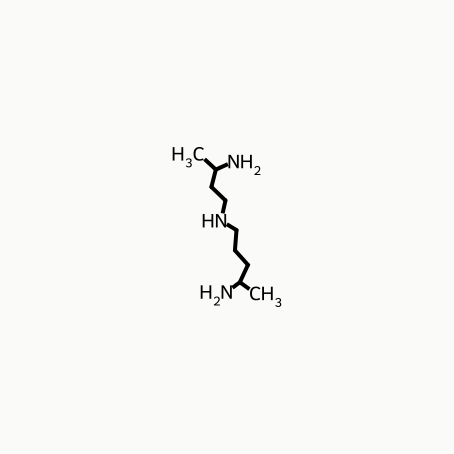 CC(N)CCCNCCC(C)N